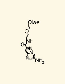 COCCOCCNC(=O)c1cc2ncc(N)cn2n1